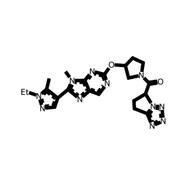 CCn1ncc(-c2nc3cnc(OC4CCN(C(=O)C5CCc6nnnn65)C4)nc3n2C)c1C